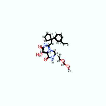 CCc1cccc(C2(Cc3nc(=O)c(O)c4n3C[C@H](CCOCOC)N(C)C4=O)CCCC2)c1